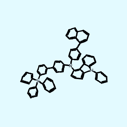 c1ccc(-n2c3ccccc3c3c(N(c4ccc(-c5cccc([Si](c6ccccc6)(c6ccccc6)c6ccccc6)c5)cc4)c4ccc(-c5cccc6ccccc56)cc4)cccc32)cc1